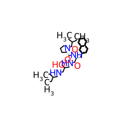 CCC(CC)CNCC(O)CNC(=O)[C@@H](Cc1ccc2ccccc2c1)NC(=O)[C@@H]1CCCN1C(=O)C(CC)CC